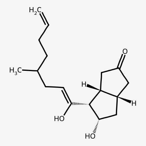 C=CCCC(C)CC=C(O)[C@@H]1[C@@H]2CC(=O)C[C@@H]2C[C@@H]1O